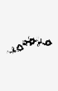 CC(C)OC(=O)N[C@H]1CC[C@H](c2ncc(-c3c(F)cc(NC(=O)NCc4ccccc4)cc3F)s2)CC1